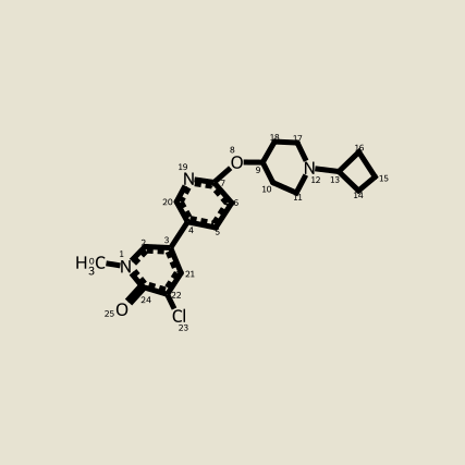 Cn1cc(-c2ccc(OC3CCN(C4CCC4)CC3)nc2)cc(Cl)c1=O